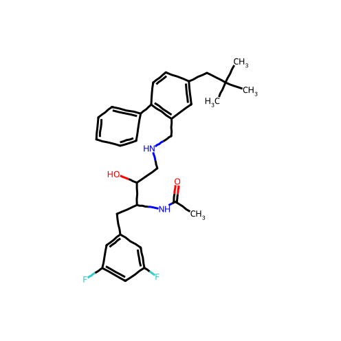 CC(=O)NC(Cc1cc(F)cc(F)c1)C(O)CNCc1cc(CC(C)(C)C)ccc1-c1ccccc1